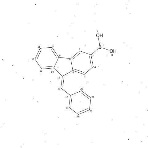 OB(O)c1ccc2c(c1)-c1ccccc1/C2=C/c1ccccc1